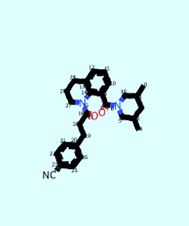 CC1CC(C)CN(C(=O)c2cccc3c2N(C(=O)CCc2ccc(C#N)cc2)CCC3)C1